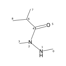 CNN(C)C(=O)C(C)C